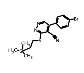 C[Si](C)(C)CCSc1nncc(-c2ccc(Br)cc2)c1C#N